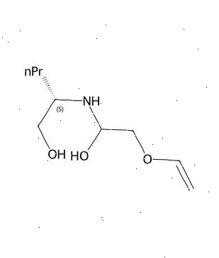 C=COCC(O)N[C@H](CO)CCC